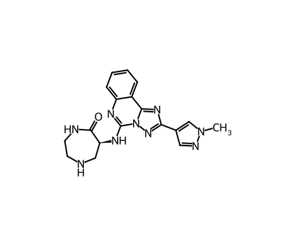 Cn1cc(-c2nc3c4ccccc4nc(N[C@H]4CNCCNC4=O)n3n2)cn1